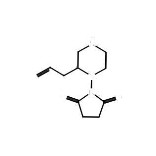 C=CCC1CNCCN1N1C(=O)CCC1=O